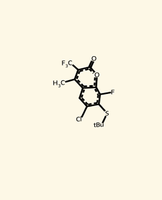 Cc1c(C(F)(F)F)c(=O)oc2c(F)c(SC(C)(C)C)c(Cl)cc12